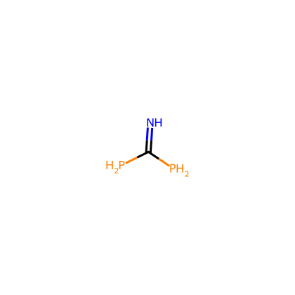 N=C(P)P